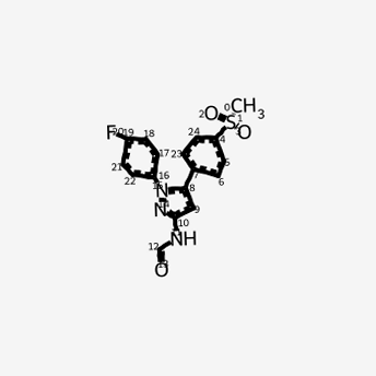 CS(=O)(=O)c1ccc(-c2cc(NC=O)nn2-c2ccc(F)cc2)cc1